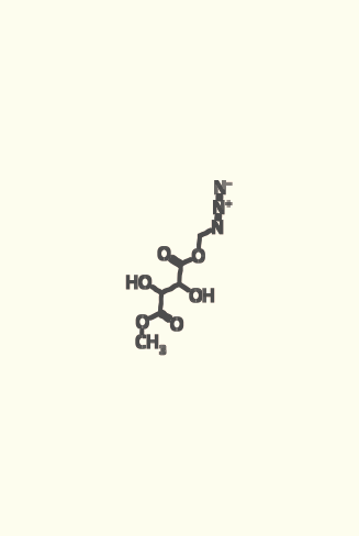 COC(=O)C(O)C(O)C(=O)OCN=[N+]=[N-]